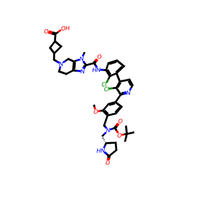 COc1cc(-c2nccc(-c3cccc(NC(=O)c4nc5c(n4C)CN(CC4CC(C(=O)O)C4)CC5)c3Cl)c2Cl)ccc1CN(C[C@@H]1CCC(=O)N1)C(=O)OC(C)(C)C